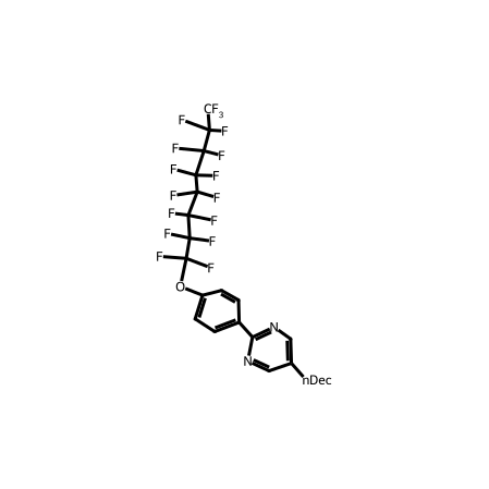 CCCCCCCCCCc1cnc(-c2ccc(OC(F)(F)C(F)(F)C(F)(F)C(F)(F)C(F)(F)C(F)(F)C(F)(F)C(F)(F)F)cc2)nc1